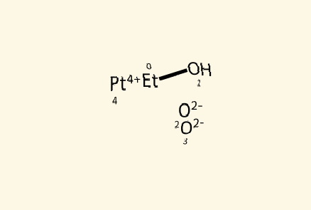 CCO.[O-2].[O-2].[Pt+4]